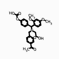 COc1ccc(C(c2ccc(OC(=O)O)cc2)N(CC(=O)O)Cc2ccc(C(C)=O)cc2)c(OC)c1